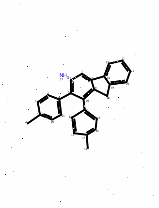 Cc1ccc(-c2ccc3c(c2-c2ccc(C)cc2)Cc2ccccc2-3)cc1.N